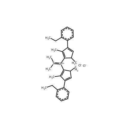 CCc1ccccc1C1=CC(C)[C]([Zr+2]([C]2=C(C)C(c3ccccc3CC)=CC2C)=[Si](C)C)=C1C.[Cl-].[Cl-]